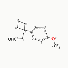 O=CCC1(c2ccc(OC(F)(F)F)cc2)CCC1